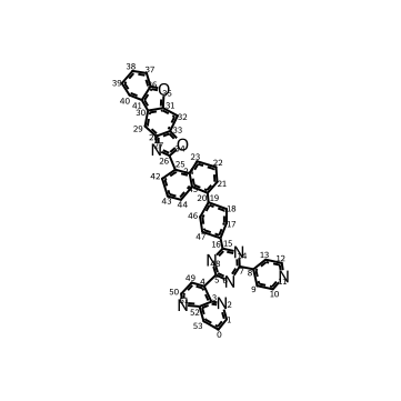 c1cnc2c(-c3nc(-c4ccncc4)nc(-c4ccc(-c5cccc6c(-c7nc8cc9c(cc8o7)oc7ccccc79)cccc56)cc4)n3)ccnc2c1